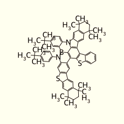 CC(C)(C)c1ccc(N2B3c4cc(C(C)(C)C)ccc4-n4c5cc6c(cc5c5c7c(sc8ccccc87)c(c3c54)-c3cc4c(cc32)sc2cc3c(cc24)C(C)(C)CCC3(C)C)C(C)(C)CCC6(C)C)cc1